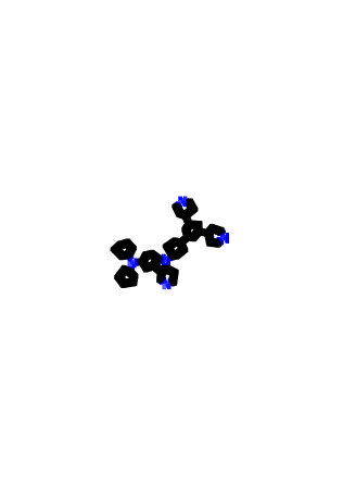 c1ccc(N(c2ccccc2)c2ccc3c(c2)c2cnccc2n3-c2ccc(-c3cc(-c4ccncc4)cc(-c4ccncc4)c3)cc2)cc1